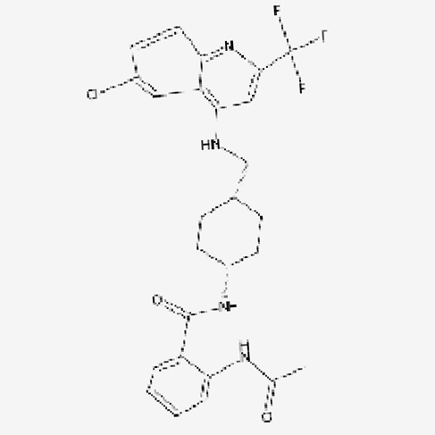 CC(=O)Nc1ccccc1C(=O)N[C@H]1CC[C@@H](CNc2cc(C(F)(F)F)nc3ccc(Cl)cc23)CC1